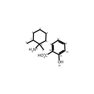 CC1CCCCC1(C)N.O=C(O)c1ccccc1O